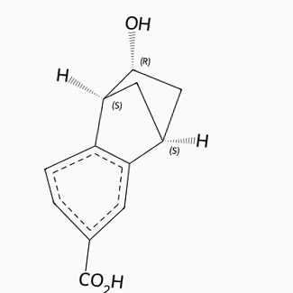 O=C(O)c1ccc2c(c1)[C@@H]1C[C@@H](O)[C@H]2C1